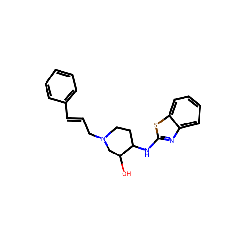 OC1CN(CC=Cc2ccccc2)CCC1Nc1nc2ccccc2s1